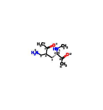 CN[C@@H](CC(CN)C(C)=O)C(C)=O